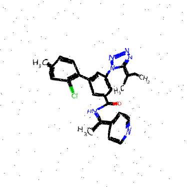 Cc1ccc(-c2cc(C(=O)NC(C)c3ccncc3)cc(-n3nnnc3C(C)C)c2)c(Cl)c1